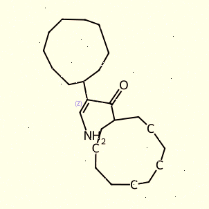 N/C=C(\C(=O)C1CCCCCCCCCC1)C1CCCCCCCCC1